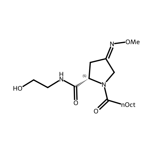 CCCCCCCCC(=O)N1CC(=NOC)C[C@H]1C(=O)NCCO